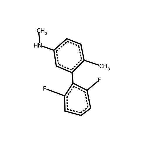 CNc1ccc(C)c(-c2c(F)cccc2F)c1